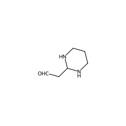 O=CCC1NCCCN1